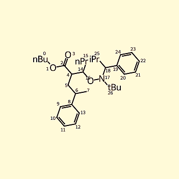 CCCCOC(=O)C(CC(C)c1ccccc1)C(CCC)ON(C(c1ccccc1)C(C)C)C(C)(C)C